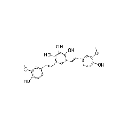 COc1cc(/C=C/c2cc(/C=C/c3ccc(O)c(OC)c3)c(O)c(O)c2O)ccc1O